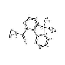 O=C(c1cccc2c1-c1ccccc1C2(O)C(F)(F)F)N1CC1